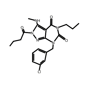 CCCC(=O)n1nc2c(c1NC)c(=O)n(CCC)c(=O)n2Cc1cccc(Cl)c1